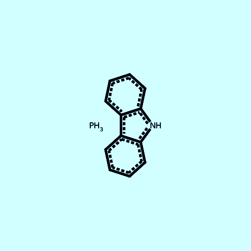 P.c1ccc2c(c1)[nH]c1ccccc12